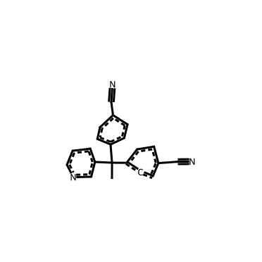 CC(c1ccc(C#N)cc1)(c1ccc(C#N)cc1)c1cccnc1